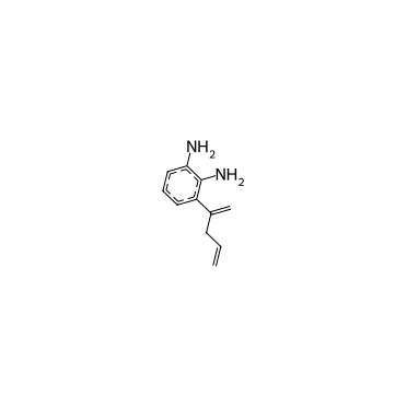 C=CCC(=C)c1cccc(N)c1N